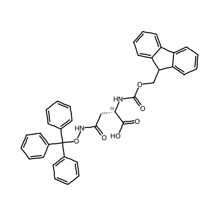 O=C(C[C@H](NC(=O)OCC1c2ccccc2-c2ccccc21)C(=O)O)NOC(c1ccccc1)(c1ccccc1)c1ccccc1